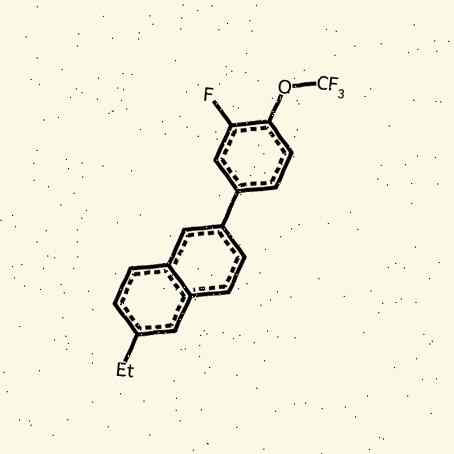 CCc1ccc2cc(-c3ccc(OC(F)(F)F)c(F)c3)ccc2c1